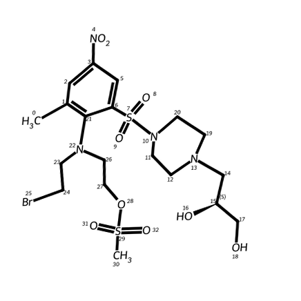 Cc1cc([N+](=O)[O-])cc(S(=O)(=O)N2CCN(C[C@H](O)CO)CC2)c1N(CCBr)CCOS(C)(=O)=O